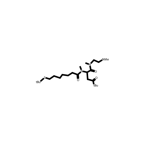 CNCCN(C)C(=O)C(CC(=O)C(C)(C)C)N(C)C(=O)CCCCCCSC(C)(C)C